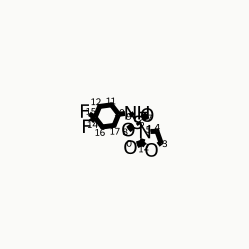 O=C1OCCN1S(=O)(=O)NC1CCC(F)(F)CC1